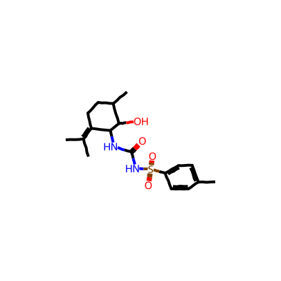 CC(C)=C1CCC(C)C(O)C1NC(=O)NS(=O)(=O)c1ccc(C)cc1